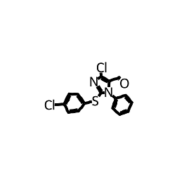 O=Cc1c(Cl)nc(Sc2ccc(Cl)cc2)n1-c1ccccc1